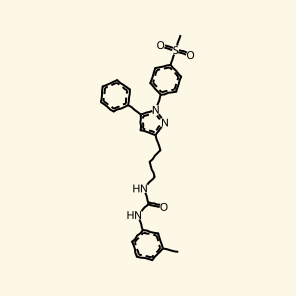 Cc1cccc(NC(=O)NCCCc2cc(-c3ccccc3)n(-c3ccc(S(C)(=O)=O)cc3)n2)c1